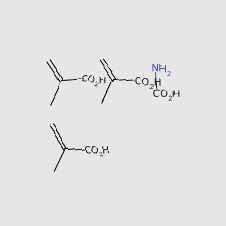 C=C(C)C(=O)O.C=C(C)C(=O)O.C=C(C)C(=O)O.NC(=O)O